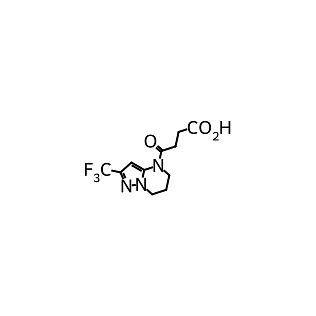 O=C(O)CCC(=O)N1CCCn2nc(C(F)(F)F)cc21